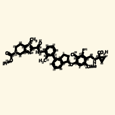 COc1cc(OC2CCc3c(-c4cccc(NC(=O)c5nc6c(n5C)CCN(C(=O)OC(C)C)C6)c4C)cccc32)c(Cl)c(F)c1CNC1(C(=O)O)CC1